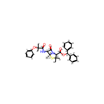 CC(C)(Oc1ccccc1)C(=O)NC1C(=O)N2C(C(=O)OC(c3ccccc3)c3ccccc3)C(C)(C)S[C@@H]12